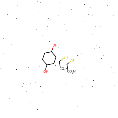 O=C(O)CS.O=C(O)CS.OC1CCC(O)CC1